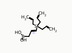 C=CC[Si](/C=C/CB(O)O)(CC=C)CC=C